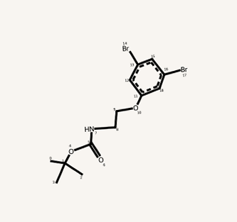 CC(C)(C)OC(=O)NCCOc1cc(Br)cc(Br)c1